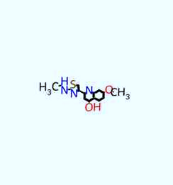 CCNc1nc(-c2cc(O)c3ccc(OC)cc3n2)cs1